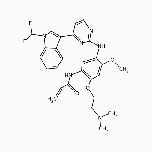 C=CC(=O)Nc1cc(Nc2nccc(-c3cn(C(F)F)c4ccccc34)n2)c(OC)cc1OCCN(C)C